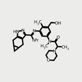 CCC/C(=N\c1cc(N(C)C(=O)C(C)N2CCOCC2)cc(CO)c1C)c1n[nH]c2c1CC1CC1C2